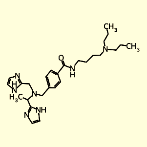 CCCN(CCC)CCCCNC(=O)c1ccc(CN(Cc2ncc[nH]2)C(C)c2ncc[nH]2)cc1